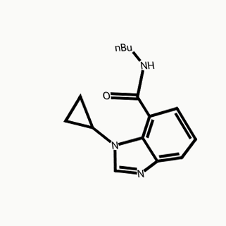 CCCCNC(=O)c1cccc2ncn(C3CC3)c12